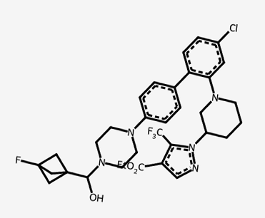 CCOC(=O)c1cnn(C2CCCN(c3cc(Cl)ccc3-c3ccc(N4CCN(C(O)C56CC(F)(C5)C6)CC4)cc3)C2)c1C(F)(F)F